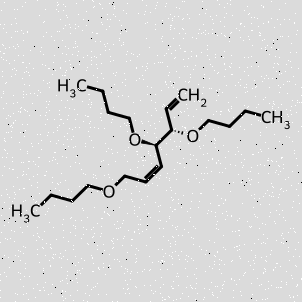 C=C[C@H](OCCCC)[C@@H](/C=C\COCCCC)OCCCC